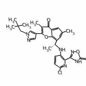 Cc1cc([C@@H](C)Nc2ccc(Cl)nc2-c2noc(=O)[nH]2)c2oc(-c3cnn(CC(C)(C)C)c3)c(C)c(=O)c2c1